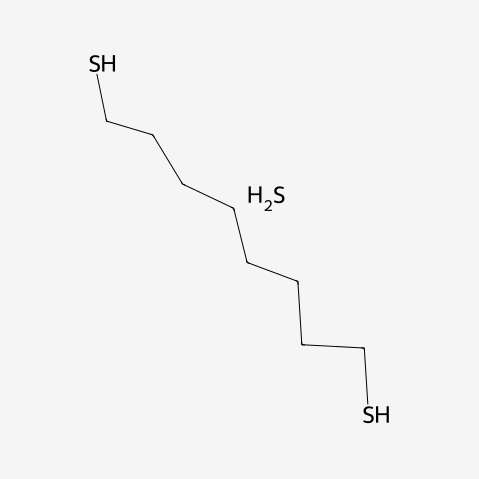 S.SCCCCCCCCS